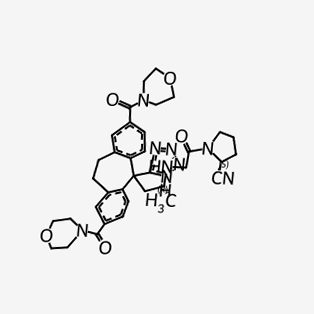 C[C@H](CC1(c2nnn[nH]2)c2ccc(C(=O)N3CCOCC3)cc2CCc2cc(C(=O)N3CCOCC3)ccc21)NCC(=O)N1CCC[C@H]1C#N